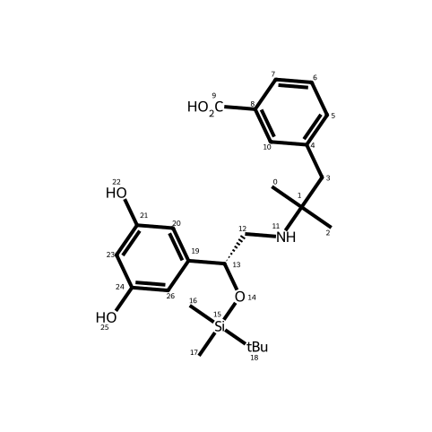 CC(C)(Cc1cccc(C(=O)O)c1)NC[C@H](O[Si](C)(C)C(C)(C)C)c1cc(O)cc(O)c1